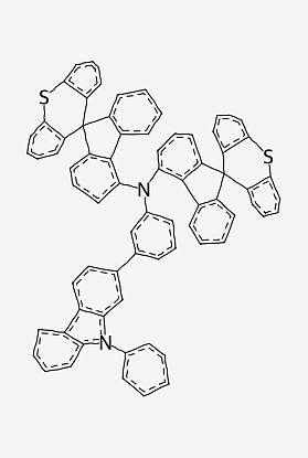 c1ccc(-n2c3ccccc3c3ccc(-c4cccc(N(c5cccc6c5-c5ccccc5C65c6ccccc6Sc6ccccc65)c5cccc6c5-c5ccccc5C65c6ccccc6Sc6ccccc65)c4)cc32)cc1